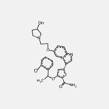 CC(Oc1cc(-c2cnc3ccc(OCCN4CCC(O)C4)cn23)sc1C(N)=O)c1ccccc1Cl